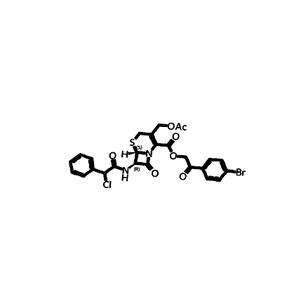 CC(=O)OCC1=C(C(=O)OCC(=O)c2ccc(Br)cc2)N2C(=O)[C@@H](NC(=O)C(Cl)c3ccccc3)[C@@H]2SC1